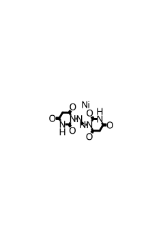 O=C1CC(=O)N(N=NN2C(=O)CC(=O)NC2=O)C(=O)N1.[Ni]